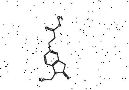 CCN1C(=O)Cc2cc(CCC(=O)OC)ccc21